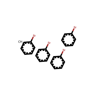 Brc1ccccc1.Brc1ccccc1.Brc1ccccc1.Brc1ccccc1.C